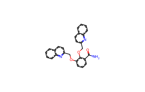 NC(=O)c1cccc(OCc2ccc3ccccc3n2)c1OCc1ccc2ccccc2n1